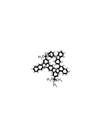 CC(C)(C)c1cc2c3cc4ccccc4cc3n3c4cc5c6cc(C(C)(C)C)cc7c8c9ccccc9cc(-c9ccc%10c(c9)c9ccccc9n%10-c9ccccc9)c8n(c5cc4c(c1)c23)c67